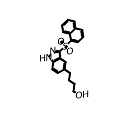 O=S(=O)(c1cccc2ccccc12)c1n[nH]c2ccc(CCCCO)cc12